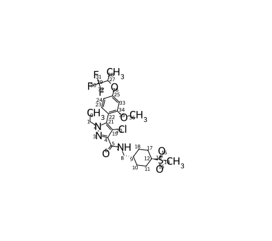 CCn1nc(C(=O)NC[C@H]2CC[C@H](S(C)(=O)=O)CC2)c(Cl)c1-c1ccc(OC(C)C(F)(F)F)cc1OC